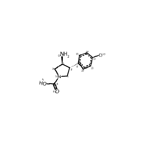 N[C@@H]1CN(C(=O)O)C[C@H]1c1ccc(Cl)cc1